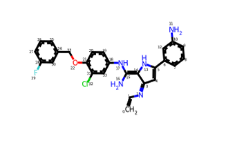 C=C/N=C1/C=C(c2cccc(N)c2)N/C1=C(/N)Nc1ccc(OCc2cccc(F)c2)c(Cl)c1